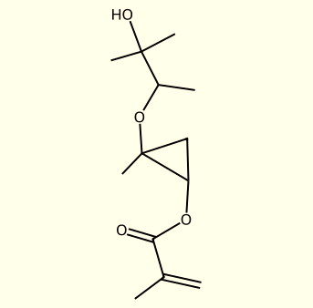 C=C(C)C(=O)OC1CC1(C)OC(C)C(C)(C)O